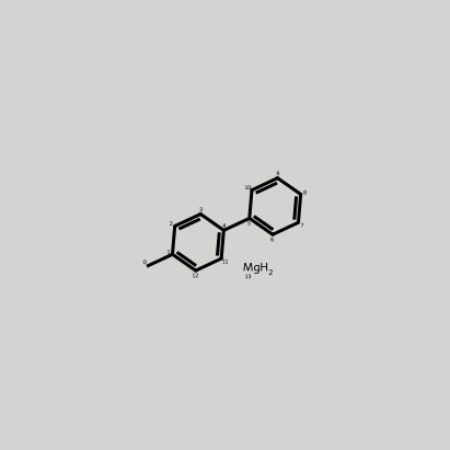 Cc1ccc(-c2ccccc2)cc1.[MgH2]